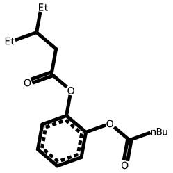 CCCCC(=O)Oc1ccccc1OC(=O)CC(CC)CC